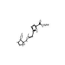 COC(=O)c1ccc(COCC2NCCC2Cl)o1